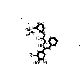 COc1cc(C(Cc2ccccc2)NCC(O)Cc2ccc(O)c(NS(C)(=O)=O)c2)cc(Cl)c1O